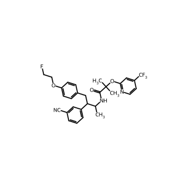 CC(NC(=O)C(C)(C)Oc1cc(C(F)(F)F)ccn1)C(Cc1ccc(OCCF)cc1)c1cccc(C#N)c1